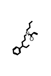 C=CC(=O)N(CCCC)CCCC(CC)c1ccccc1